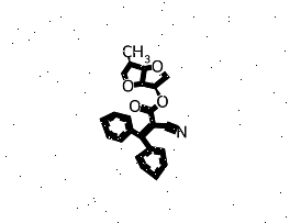 C[C@H]1COC2C1OC[C@H]2OC(=O)C(C#N)=C(c1ccccc1)c1ccccc1